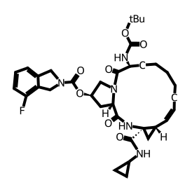 CC(C)(C)OC(=O)N[C@H]1CCCCC/C=C\[C@@H]2C[C@@]2(C(=O)NC2CC2)NC(=O)[C@@H]2C[C@@H](OC(=O)N3Cc4cccc(F)c4C3)CN2C1=O